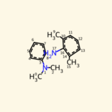 CN(C)c1ccccc1.Cc1cccc(C)c1N